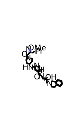 CO/N=C(\CC(C)C)C(=O)N1CCC(Nc2cc(C(=O)NC[C@H](O)CN3CCc4ccccc4C3)ncn2)CC1